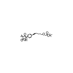 COC(=O)C1(C(=O)Nc2ccc(C#CCCCCOCC(=O)OC(C)(C)C)cc2)CC1